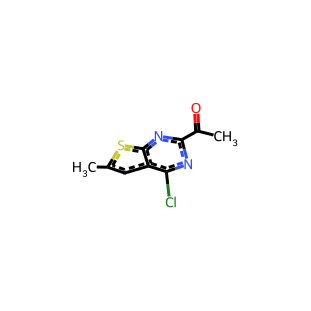 CC(=O)c1nc(Cl)c2cc(C)sc2n1